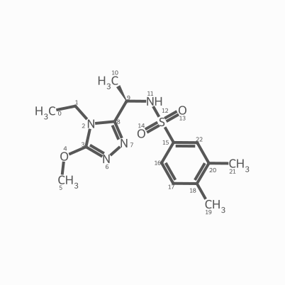 CCn1c(OC)nnc1[C@@H](C)NS(=O)(=O)c1ccc(C)c(C)c1